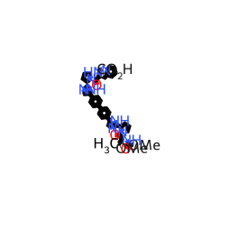 COC(=O)N[C@H](C(=O)N1CCCC1c1ncc(-c2ccc(-c3ccc(-c4cnc([C@@H]5CCCN5C(=O)[C@H](Cc5ccccn5)NC(=O)O)[nH]4)cc3)cc2)[nH]1)[C@@H](C)OC